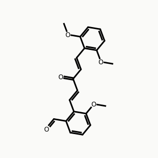 COc1cccc(C=O)c1/C=C/C(=O)/C=C/c1c(OC)cccc1OC